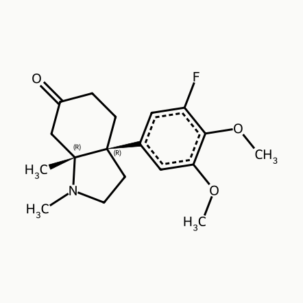 COc1cc([C@]23CCC(=O)C[C@@]2(C)N(C)CC3)cc(F)c1OC